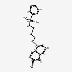 O=c1ccc2c(OCCCCS(=O)(=O)c3ccccc3)cccc2[nH]1